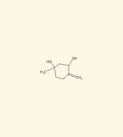 C=C1CCC(C)(O)CC1O